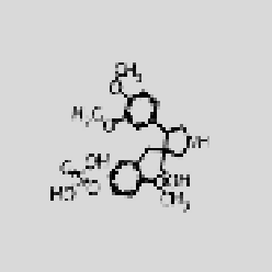 COc1ccccc1CC1(CO)CNCC1c1ccc(OC)c(OC)c1.O=S(=O)(O)O